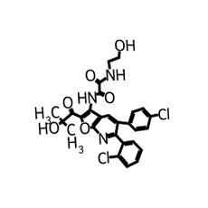 CC(C)(O)C(=O)c1oc2nc(-c3ccccc3Cl)c(-c3ccc(Cl)cc3)cc2c1NC(=O)C(=O)NCCO